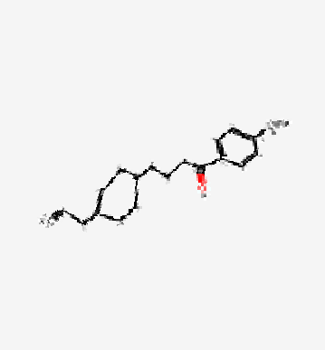 C=CCC1CCC(CCCC(=O)c2ccc(OC)cc2)CC1